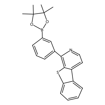 CC1(C)OB(c2cccc(-c3nccc4c3sc3ccccc34)c2)OC1(C)C